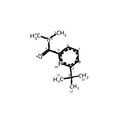 CN(C)C(=O)c1cccc(C(C)(C)C)n1